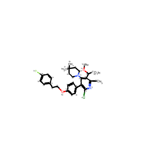 Cc1nc(Cl)c(-c2ccc(OCCc3ccc(F)cc3)cc2)c(N2CCC(C)(C)CC2)c1C(OC(C)(C)C)C(=O)O